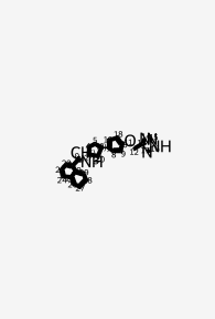 C[C@@H](N[C@H]1CC[C@@H](c2ccc(OCc3nn[nH]n3)cc2)C1)c1cccc2ccccc12